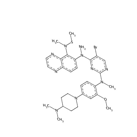 COc1cc(N2CCC(N(C)C)CC2)ccc1N(C)c1ncc(Br)c(N(N)c2ccc3nccnc3c2N(C)SC)n1